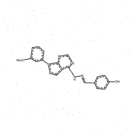 COc1cccc(-n2ncc3c(N/N=C/c4ccc(O)cc4)ncnc32)c1